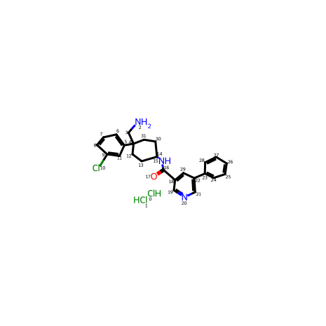 Cl.Cl.NCC1(c2cccc(Cl)c2)CCC(NC(=O)c2cncc(-c3ccccc3)c2)CC1